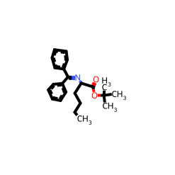 CCCCC(N=C(c1ccccc1)c1ccccc1)C(=O)OC(C)(C)C